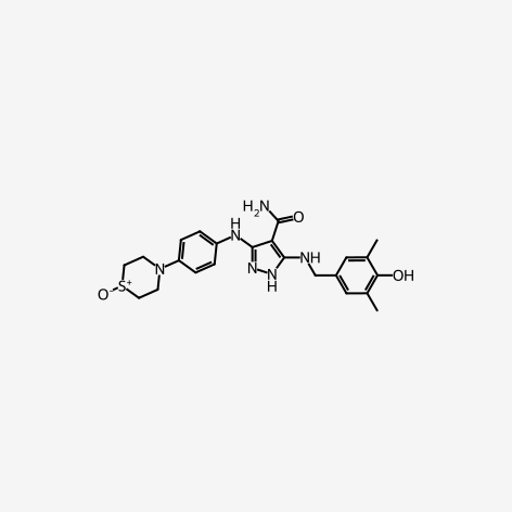 Cc1cc(CNc2[nH]nc(Nc3ccc(N4CC[S+]([O-])CC4)cc3)c2C(N)=O)cc(C)c1O